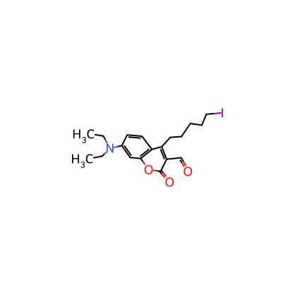 CCN(CC)c1ccc2c(CCCCCI)c(C=O)c(=O)oc2c1